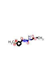 CCOC(=O)CNC(=O)NNC(=O)c1cccc(S(C)(=O)=O)c1